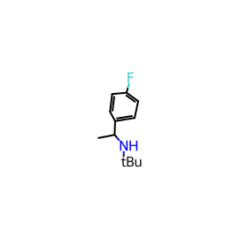 CC(NC(C)(C)C)c1ccc(F)cc1